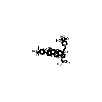 C=C(C)C[C@@H]1CC[C@]2(NCCN3CCC(C(=O)O)(C(=O)O)CC3)CC[C@]3(C)[C@H](CC[C@@H]4[C@@]5(C)CC=C(C6=CC[C@@](CF)(C(=O)O)CC6)C(C)(C)[C@@H]5CC[C@]43C)[C@@H]12